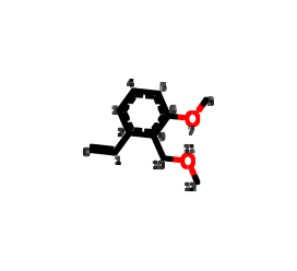 C=Cc1cccc(OC)c1COC